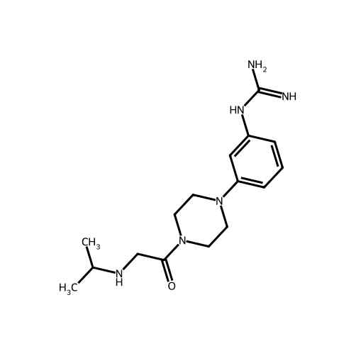 CC(C)NCC(=O)N1CCN(c2cccc(NC(=N)N)c2)CC1